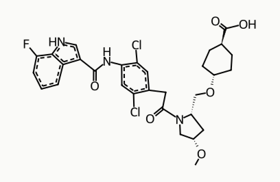 CO[C@H]1C[C@@H](CO[C@H]2CC[C@H](C(=O)O)CC2)N(C(=O)Cc2cc(Cl)c(NC(=O)c3c[nH]c4c(F)cccc34)cc2Cl)C1